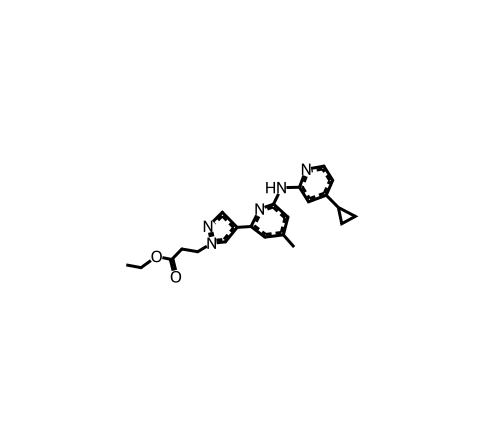 CCOC(=O)CCn1cc(-c2cc(C)cc(Nc3cc(C4CC4)ccn3)n2)cn1